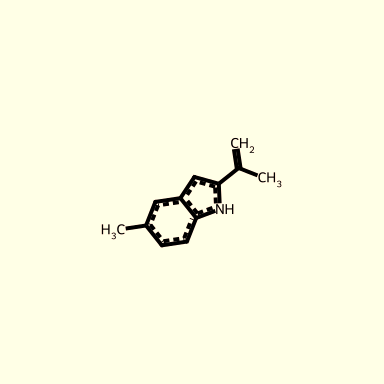 C=C(C)c1cc2cc(C)ccc2[nH]1